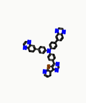 c1cnc2sc3c(-c4ccc(N(c5ccc(-c6ccc7nccnc7c6)cc5)c5ccc(-c6ccc7nccnc7c6)cc5)cc4)ncnc3c2c1